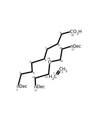 C=C.CCCCCCCCCCCCCCCCCC(=O)O.CCCCCCCCCCCCOCCCCCCCCCCCC